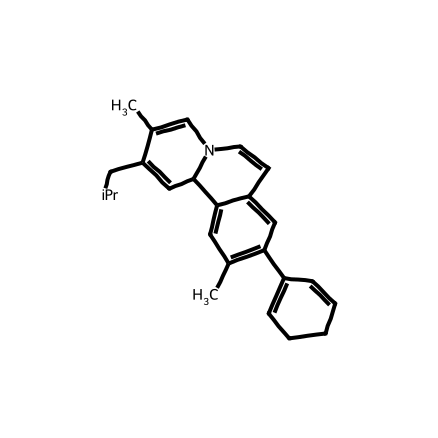 CC1=CN2C=Cc3cc(C4=CCCC=C4)c(C)cc3C2C=C1CC(C)C